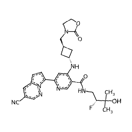 CC(C)(O)[C@H](F)CNC(=O)c1cnc(-c2ccc3cc(C#N)cnn23)cc1N[C@H]1C[C@H](CN2CCOC2=O)C1